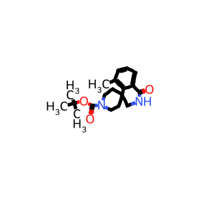 Cc1cccc2c1C1(CCN(C(=O)OC(C)(C)C)CC1)CNC2=O